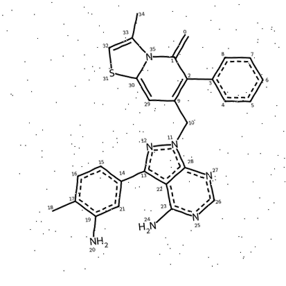 C=C1C(c2ccccc2)=C(Cn2nc(-c3ccc(C)c(N)c3)c3c(N)ncnc32)C=C2SC=C(C)N12